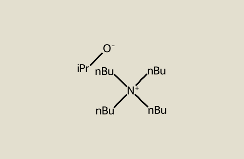 CC(C)[O-].CCCC[N+](CCCC)(CCCC)CCCC